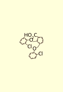 O=C(O)c1cccc(COc2ccccc2Cl)c1COc1ccccc1Cl